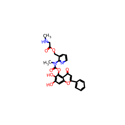 CNCC(=O)OCc1cccnc1N(C)C(=O)Oc1c(O)c(O)cc2oc(-c3ccccc3)cc(=O)c12